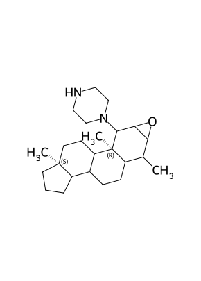 CC1C2OC2C(N2CCNCC2)[C@@]2(C)C1CCC1C3CCC[C@@]3(C)CCC12